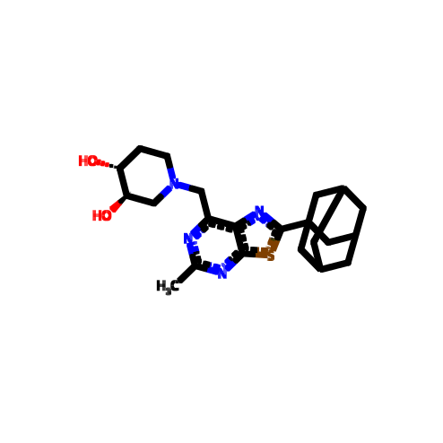 Cc1nc(CN2CC[C@@H](O)[C@H](O)C2)c2nc(C34CC5CC(CC(C5)C3)C4)sc2n1